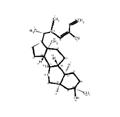 C=C/C(C#N)=C\N(C)[C@@H](C)[C@H]1CC[C@H]2[C@@H]3CC[C@@H]4C[C@](C)(O)CC[C@@H]4[C@H]3CC[C@]12C